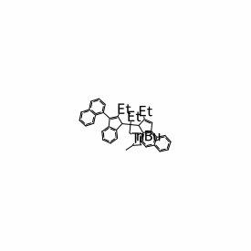 CCC[CH2][Ti]1([CH2]C(CC)(C2C(CC)=C(c3cccc4ccccc34)c3ccccc32)C2C(CC)=Cc3c2ccc2ccccc32)[CH2][CH]1C